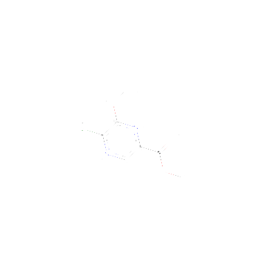 COC(=O)c1cnc(Br)c(OC)n1